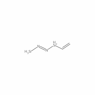 C=C[SiH2]N=N[SiH3]